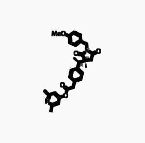 COc1ccc(CN2C(=O)C[C@@](C)([C@H](C)c3ccc(CC(=O)Oc4cc(C)nc(C)c4)cc3)C2=O)cc1